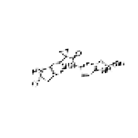 CC(C)(C)c1cc2cc(NC(=O)C3(c4ccc5c(c4)NC(=O)C5)CC3)ccc2[nH]1